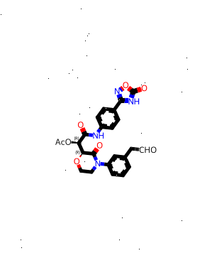 CC(=O)O[C@@H](C(=O)Nc1ccc(-c2noc(=O)[nH]2)cc1)[C@H]1OCCN(c2cccc(CC=O)c2)C1=O